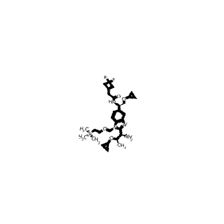 C[C@@H](OC1CC1)[C@H](N)c1nc2cc([C@@H](COC3CC3)NC(=O)CC3CC(F)(F)C3)ccc2n1COCC[Si](C)(C)C